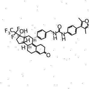 Cc1noc(C)c1-c1ccc(NC(=O)NCc2ccc([C@H]3C[C@@]4(C)[C@@H](CC[C@@]4(O)C(F)(F)C(F)(F)F)[C@@H]4CCC5=CC(=O)CCC5=C43)cc2)cc1